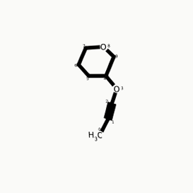 CC#COC1CCCOC1